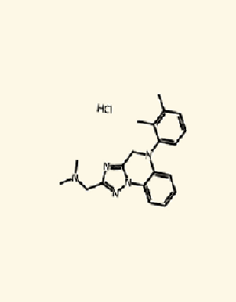 Cc1cccc(N2Cc3nc(CN(C)C)nn3-c3ccccc32)c1C.Cl